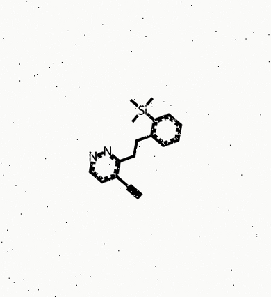 C#Cc1ccnnc1CCc1ccccc1[Si](C)(C)C